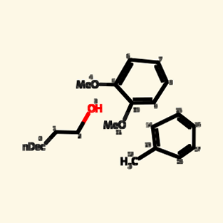 CCCCCCCCCCCCO.COc1ccccc1OC.Cc1ccccc1